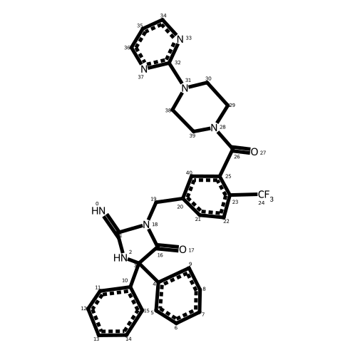 N=C1NC(c2ccccc2)(c2ccccc2)C(=O)N1Cc1ccc(C(F)(F)F)c(C(=O)N2CCN(c3ncccn3)CC2)c1